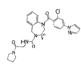 C[C@@H]1CN(C(=O)c2ccc(-n3cccn3)cc2Cl)c2ccccc2CN1C(=O)NCC(=O)N1CCCC1